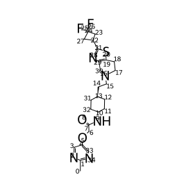 Cc1ncc(OCC(=O)N[C@H]2CC[C@H](CCN3CCc4sc(C5CC(F)(F)C5)nc4C3)CC2)cn1